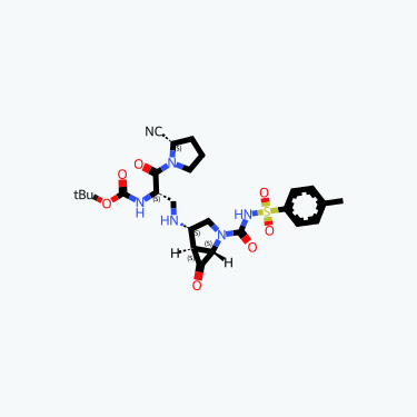 Cc1ccc(S(=O)(=O)NC(=O)N2C[C@@H](NC[C@H](NC(=O)OC(C)(C)C)C(=O)N3CCC[C@H]3C#N)[C@@H]3C(=O)[C@H]32)cc1